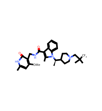 COc1cc(C)[nH]c(=O)c1CNC(=O)c1c(C)n([C@H](C)C2CCN(CC(C)(C)C(F)(F)F)CC2)c2ccccc12